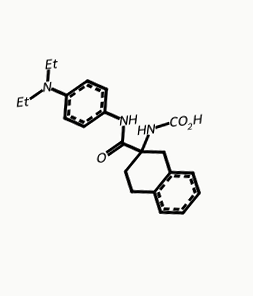 CCN(CC)c1ccc(NC(=O)C2(NC(=O)O)CCc3ccccc3C2)cc1